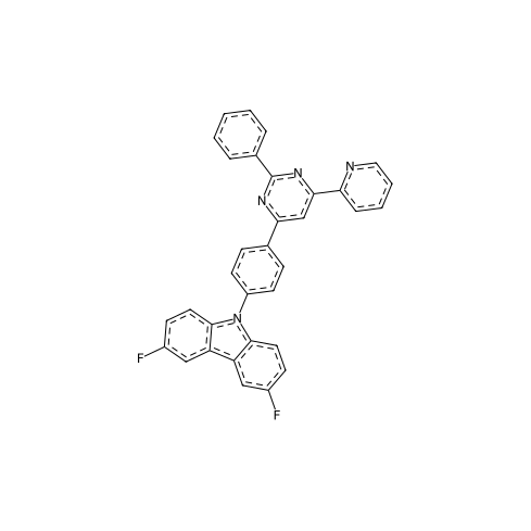 Fc1ccc2c(c1)c1cc(F)ccc1n2-c1ccc(-c2cc(-c3ccccn3)nc(-c3ccccc3)n2)cc1